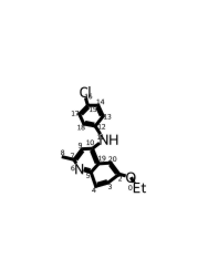 CCOc1ccc2nc(C)cc(Nc3ccc(Cl)cc3)c2c1